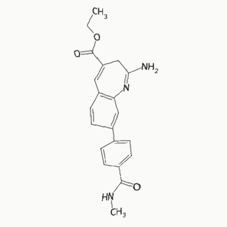 CCOC(=O)C1=Cc2ccc(-c3ccc(C(=O)NC)cc3)cc2N=C(N)C1